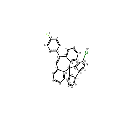 Fc1ccc(C2=Cc3ccccc3C3(c4ccccc42)c2ccccc2-c2ccc(Cl)cc23)cc1